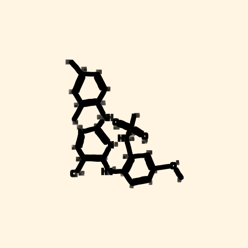 COc1ccc(Nc2nc(Nc3ccc(C)cc3C)ncc2Cl)c(NS(C)(=O)=O)c1